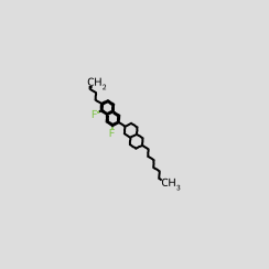 C=CCCc1ccc2cc(C3CCC4CC(CCCCCCC)CCC4C3)c(F)cc2c1F